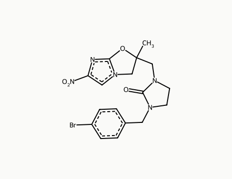 CC1(CN2CCN(Cc3ccc(Br)cc3)C2=O)Cn2cc([N+](=O)[O-])nc2O1